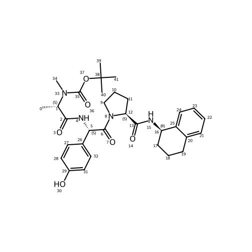 C[C@@H](C(=O)N[C@H](C(=O)N1CCC[C@H]1C(=O)N[C@@H]1CCCc2ccccc21)c1ccc(O)cc1)N(C)C(=O)OC(C)(C)C